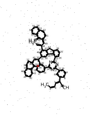 C#C/C(=C\C=C/C)c1cccc(-c2nc(-c3ccccc3)nc(-c3cccc4c3-c3cc(-c5ccc6c(ccc7ccccc76)c5)cc(C(/C=c5/ccc6ccccc6c5=C)=C/C)c3C4)n2)c1